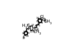 COc1cc(/C=C/C(=O)N2C[C@H](C)N(Cc3ccc(F)cc3)C[C@H]2C)ccc1Cl